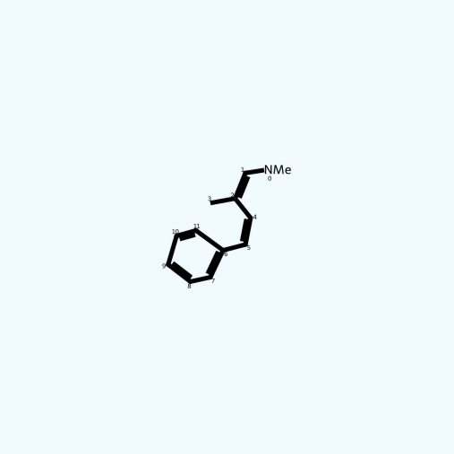 CN/C=C(C)\C=C/c1ccccc1